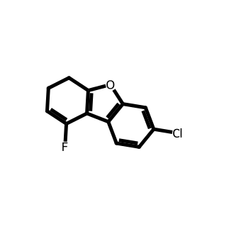 FC1=CCCc2oc3cc(Cl)ccc3c21